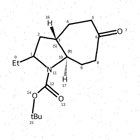 CCC1C[C@@H]2CCC(=O)CC[C@H]2N1C(=O)OC(C)(C)C